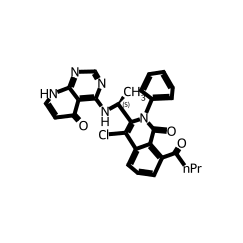 CCCC(=O)c1cccc2c(Cl)c([C@H](C)Nc3ncnc4[nH]ccc(=O)c34)n(-c3ccccc3)c(=O)c12